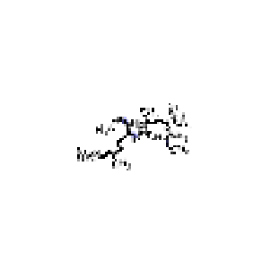 C/C=C\C(CCC(C)CCNC)=N/N(C)NC(C)CCC(N(C)C)N(/C=C\C)C(C)C